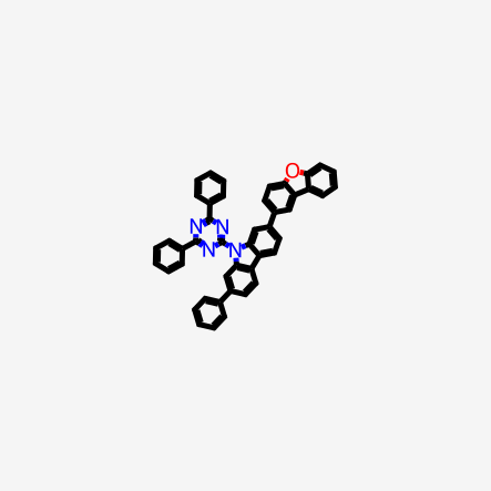 c1ccc(-c2ccc3c4ccc(-c5ccc6oc7ccccc7c6c5)cc4n(-c4nc(-c5ccccc5)nc(-c5ccccc5)n4)c3c2)cc1